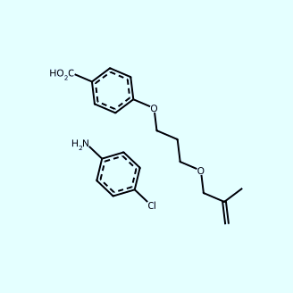 C=C(C)COCCCOc1ccc(C(=O)O)cc1.Nc1ccc(Cl)cc1